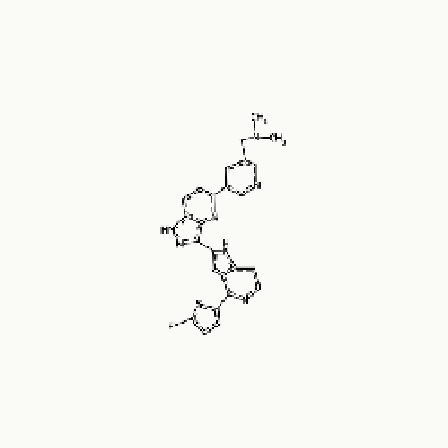 CN(C)Cc1cncc(-c2ccc3[nH]nc(-c4cc5c(-c6ccc(F)s6)nccc5[nH]4)c3n2)c1